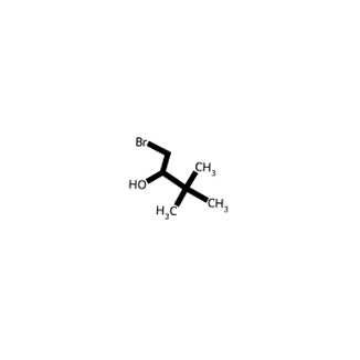 CC(C)(C)C(O)CBr